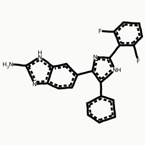 Nc1nc2ccc(-c3nc(-c4c(F)cccc4F)[nH]c3-c3ccccc3)cc2[nH]1